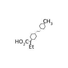 CCC=C(C(=O)O)[C@H]1CC[C@H](CC[C@H]2CC[C@H](C)CC2)CC1